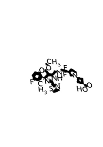 CCOC(=O)C1=C(CNCC(F)(F)C2CCN([C@H]3C[C@H](C(=O)O)C3)C2)NC(c2nccs2)=N[C@H]1c1cccc(F)c1C